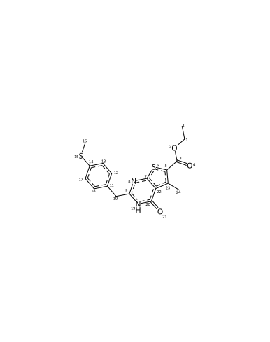 CCOC(=O)c1sc2nc(Cc3ccc(SC)cc3)[nH]c(=O)c2c1C